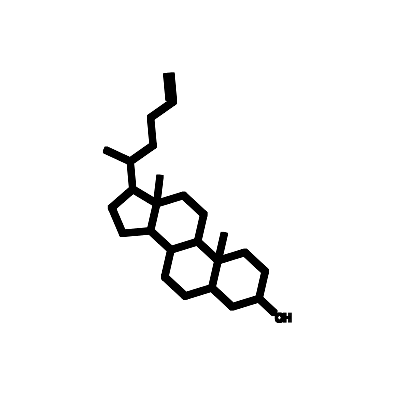 C=CCCC(C)C1CCC2C3CCC4CC(O)CCC4(C)C3CCC12C